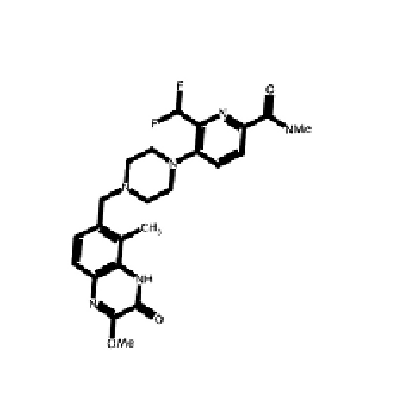 CNC(=O)c1ccc(N2CCN(Cc3ccc4nc(OC)c(=O)[nH]c4c3C)CC2)c(C(F)F)n1